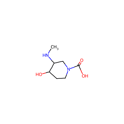 CNC1CN(C(=O)O)CCC1O